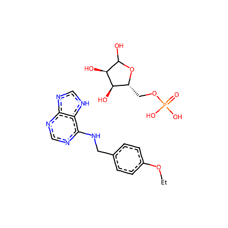 CCOc1ccc(CNc2ncnc3nc[nH]c23)cc1.O=P(O)(O)OC[C@H]1OC(O)[C@H](O)[C@@H]1O